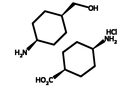 Cl.N[C@H]1CC[C@@H](C(=O)O)CC1.N[C@H]1CC[C@@H](CO)CC1